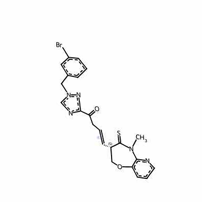 CN1C(=S)[C@@H](/C=C/CC(=O)c2ncn(Cc3cccc(Br)c3)n2)COc2cccnc21